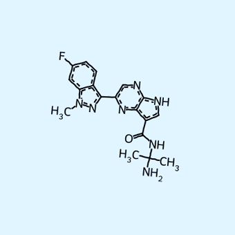 Cn1nc(-c2cnc3[nH]cc(C(=O)NC(C)(C)N)c3n2)c2ccc(F)cc21